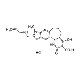 C=CCNCc1cc2cc3c(cc2n1C)CCCc1c-3[nH]c(=O)c(C(=O)O)c1O.Cl